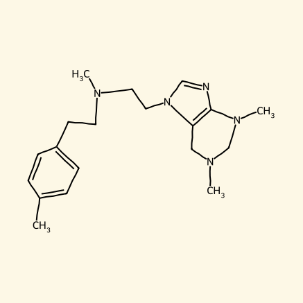 Cc1ccc(CCN(C)CCn2cnc3c2CN(C)CN3C)cc1